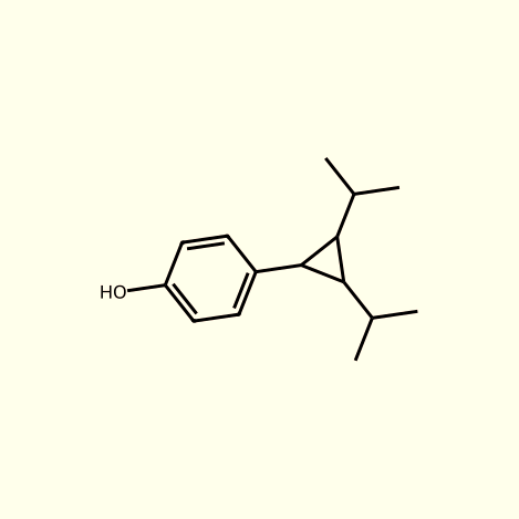 CC(C)C1C(c2ccc(O)cc2)C1C(C)C